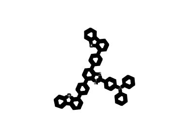 c1ccc(N(c2ccccc2)c2ccc(-c3nc4c(-c5ccc(-c6cccc7c6oc6ccccc67)cc5)ccc(-c5ccc(-c6cccc7c6oc6ccccc67)cc5)c4s3)cc2)cc1